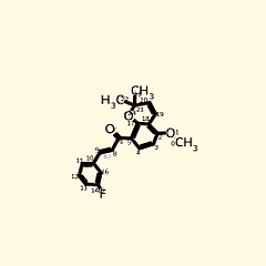 COc1ccc(C(=O)/C=C/c2cccc(F)c2)c2c1C=CC(C)(C)O2